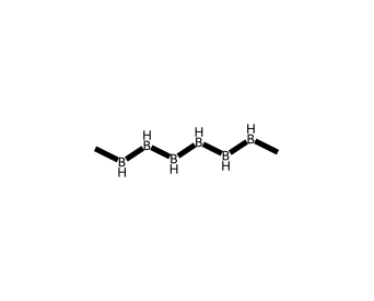 CBBBBBBC